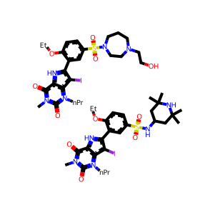 CCCn1c(=O)n(C)c(=O)c2[nH]c(-c3cc(S(=O)(=O)N4CCCN(CCO)CC4)ccc3OCC)c(I)c21.CCCn1c(=O)n(C)c(=O)c2[nH]c(-c3cc(S(=O)(=O)NC4CC(C)(C)NC(C)(C)C4)ccc3OCC)c(I)c21